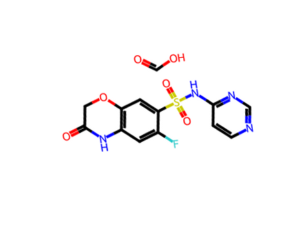 O=C1COc2cc(S(=O)(=O)Nc3ccncn3)c(F)cc2N1.O=CO